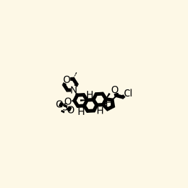 C[C@@H]1CN([C@H]2C[C@@]3(C)[C@@H](CC[C@@H]4[C@@H]3CC[C@]3(C)[C@@H](C(=O)CCl)CC[C@@H]43)C[C@@H]2OS(C)(=O)=O)CCO1